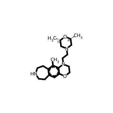 Cc1c2c(cc3c1N(CCN1C[C@@H](C)O[C@@H](C)C1)CCO3)CCNCC2